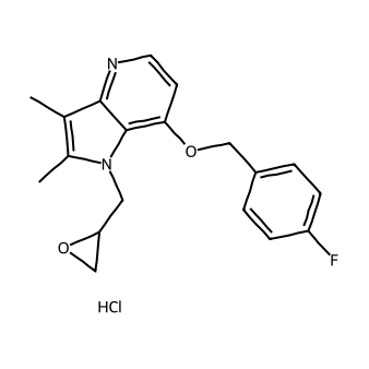 Cc1c(C)n(CC2CO2)c2c(OCc3ccc(F)cc3)ccnc12.Cl